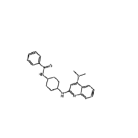 CN(C)c1cc(NC2CCC(NC(=O)c3ccccc3)CC2)nc2ccccc12